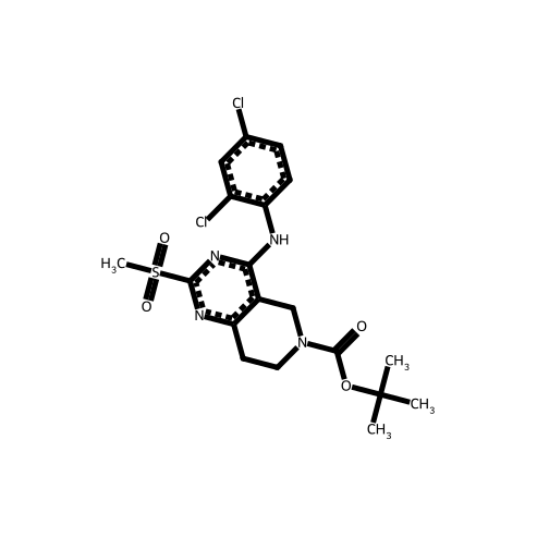 CC(C)(C)OC(=O)N1CCc2nc(S(C)(=O)=O)nc(Nc3ccc(Cl)cc3Cl)c2C1